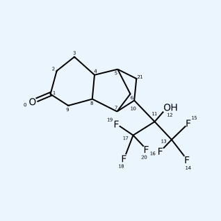 O=C1CCC2C3CC(C2C1)C(C(O)(C(F)(F)F)C(F)(F)F)C3